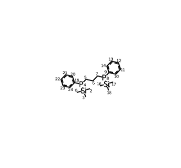 C[Si](C)(C)P(CCCP(c1ccccc1)[Si](C)(C)C)c1ccccc1